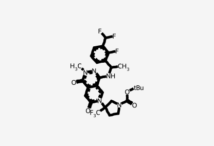 CC(Nc1nn(C)c(=O)c2cc(=O)n(C3(C(F)(F)F)CCN(C(=O)OC(C)(C)C)C3)cc12)c1cccc(C(F)F)c1F